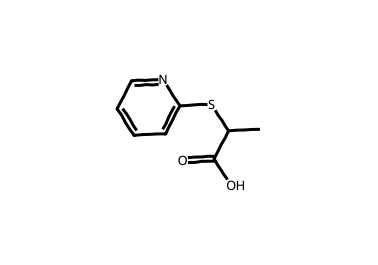 CC(Sc1ccccn1)C(=O)O